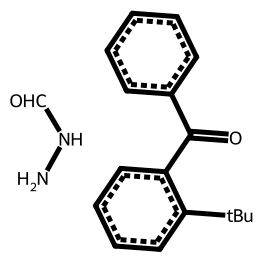 CC(C)(C)c1ccccc1C(=O)c1ccccc1.NNC=O